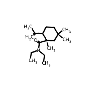 C=C(C)C1CCC(C)(C)C[C@]1(C)C(=O)N(CC)CC